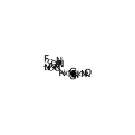 C=CC(=O)N1CCC2(CC1)CN(S(=O)(=O)N1CCC3(CC1)CN(C[C@@H]1CCN(c4ncncc4Oc4ccc(F)cc4C(=O)N(C(C)C)C(C)C)C1)C3)C2